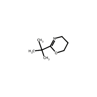 CC(C)(C)C1=NCCCO1